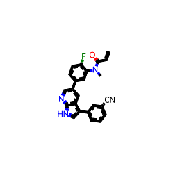 C=CC(=O)N(C)c1cc(-c2cnc3[nH]cc(-c4cccc(C#N)c4)c3c2)ccc1F